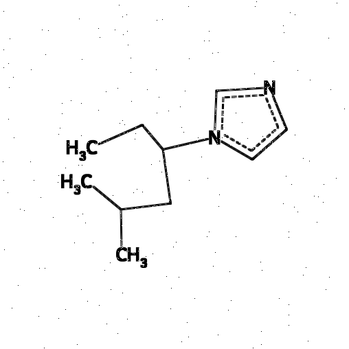 CCC(CC(C)C)n1ccnc1